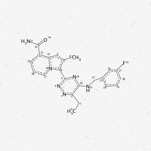 CCc1nnc(-c2c(C)cc3c(C(N)=O)cccn23)nc1NCc1cccc(F)c1